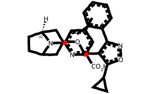 Cc1cc(C(=O)O)nc(N2C3CC[C@H]2CC(OCc2c(-c4ccccc4C)noc2C2CC2)C3)c1